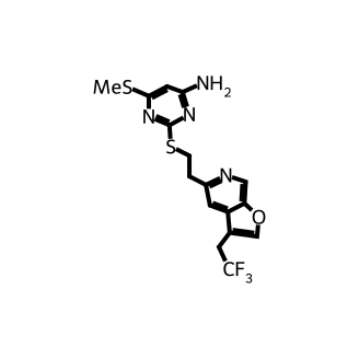 CSc1cc(N)nc(SCCc2cc3c(CC(F)(F)F)coc3cn2)n1